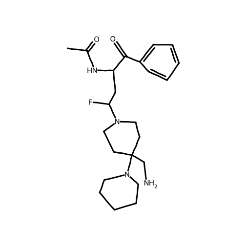 CC(=O)NC(CC(F)N1CCC(CN)(N2CCCCC2)CC1)C(=O)c1ccccc1